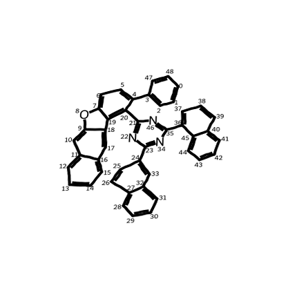 c1ccc(-c2ccc3oc4cc5ccccc5cc4c3c2-c2nc(-c3ccc4ccccc4c3)nc(-c3cccc4ccccc34)n2)cc1